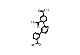 O=C(O)c1cccc(-c2ccnc(-c3ccc(C(=O)O)cc3C(=O)O)c2)c1